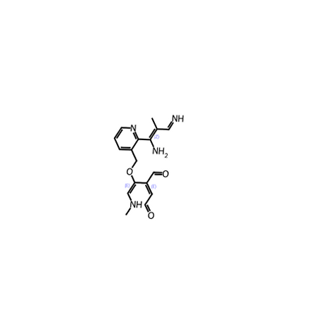 CN/C=C(OCc1cccnc1/C(N)=C(\C)C=N)\C(C=O)=C/C=O